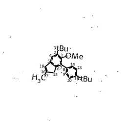 COc1c(C(C)(C)C)cc2c(c1-c1ccc(C(C)(C)C)cc1)CC(C)=C2